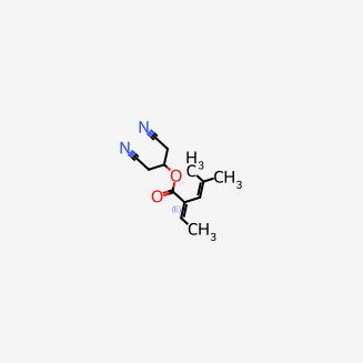 C/C=C(\C=C(C)C)C(=O)OC(CC#N)CC#N